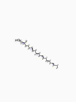 CC/C=C/C/C=C/C/C=C/C/C=C/C/C=C/CCC/C(C)=C/CO